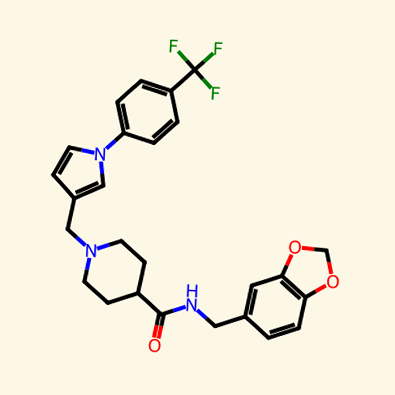 O=C(NCc1ccc2c(c1)OCO2)C1CCN(Cc2ccn(-c3ccc(C(F)(F)F)cc3)c2)CC1